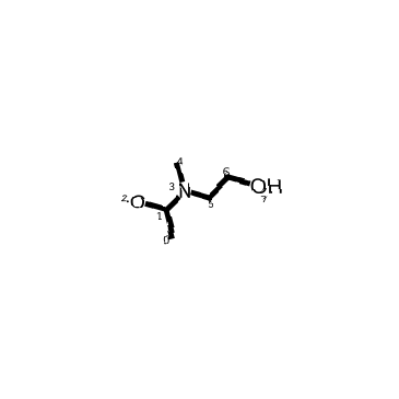 CC([O])N(C)CCO